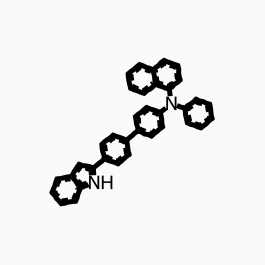 c1ccc(N(c2ccc(-c3ccc(-c4cc5ccccc5[nH]4)cc3)cc2)c2cccc3ccccc23)cc1